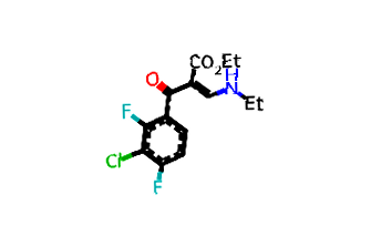 CCNC=C(C(=O)OCC)C(=O)c1ccc(F)c(Cl)c1F